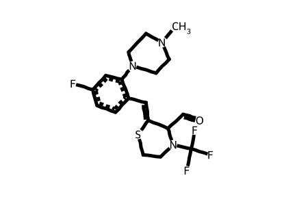 CN1CCN(c2cc(F)ccc2C=C2SCCN(C(F)(F)F)C2C=O)CC1